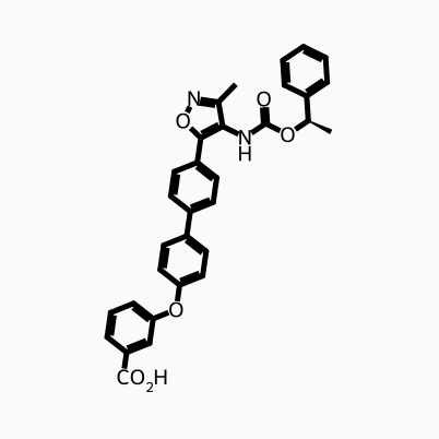 Cc1noc(-c2ccc(-c3ccc(Oc4cccc(C(=O)O)c4)cc3)cc2)c1NC(=O)O[C@H](C)c1ccccc1